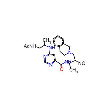 CC(=O)NCC(C)Nc1cc(C(=O)NC(C)C(CN2CCc3ccccc3C2)N=O)ncn1